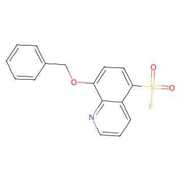 O=S(=O)(F)c1ccc(OCc2ccccc2)c2ncccc12